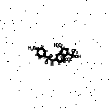 CCOC(=O)C(O)(c1cn(C)c2cc(NS(=O)(=O)c3ccc(C)cc3)ccc12)C(F)(F)F